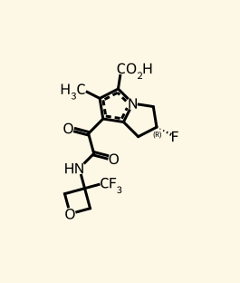 Cc1c(C(=O)C(=O)NC2(C(F)(F)F)COC2)c2n(c1C(=O)O)C[C@H](F)C2